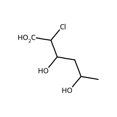 CC(O)CC(O)C(Cl)C(=O)O